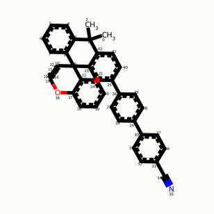 CC1(C)c2ccccc2C2(c3ccccc3Oc3ccccc32)c2cc(-c3ccc(-c4ccc(C#N)cc4)cc3)ccc21